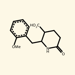 COc1ccccc1CC1NC(=O)CCC1C(=O)O